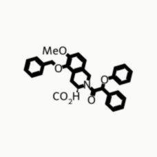 COc1ccc2c(c1OCc1ccccc1)C[C@@H](C(=O)O)N(C(=O)C(Oc1ccccc1)c1ccccc1)C2